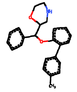 Cc1ccc(-c2ccccc2OC(c2ccccc2)C2CNCCO2)cc1